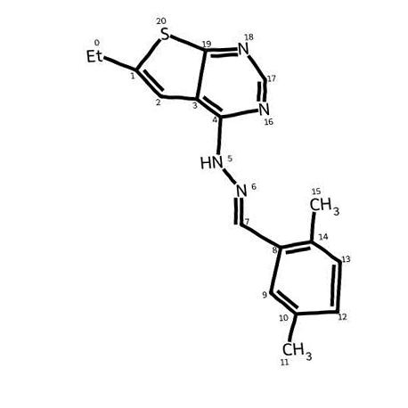 CCc1cc2c(NN=Cc3cc(C)ccc3C)ncnc2s1